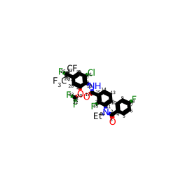 CCN(C(=O)c1ccc(F)cc1)c1cccc(C(=O)Nc2c(Cl)cc(C(F)(C(F)(F)F)C(F)(F)F)cc2OC(F)F)c1F